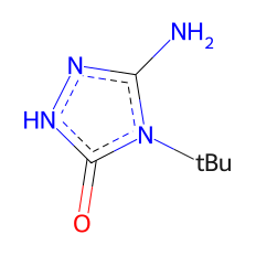 CC(C)(C)n1c(N)n[nH]c1=O